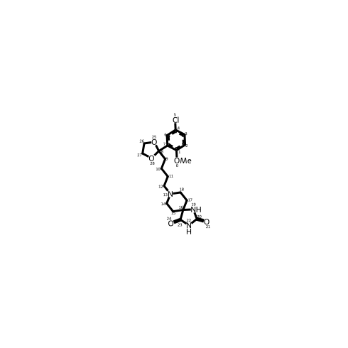 COc1ccc(Cl)cc1C1(CCCCN2CCC3(CC2)NC(=O)NC3=O)OCCO1